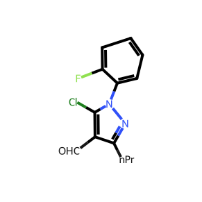 CCCc1nn(-c2ccccc2F)c(Cl)c1C=O